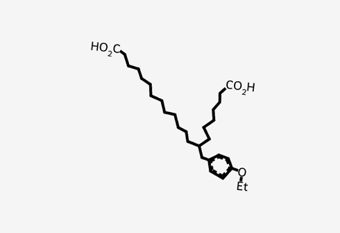 CCOc1ccc(CC(CCCCCCCCCCCCC(=O)O)CCCCCCC(=O)O)cc1